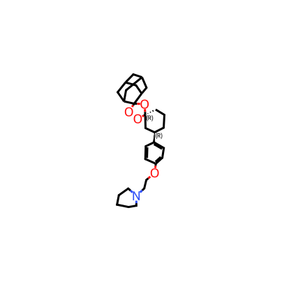 c1cc([C@@H]2CCC[C@]3(C2)OOC2(O3)C3CC4CC(C3)CC2C4)ccc1OCCN1CCCCC1